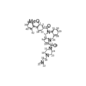 COc1cc(C(=O)N2Cc3ccc(C(=O)N4CCN(CCN(C)C)CC4)n3Cc3ccccc32)ccc1-c1ccccc1C